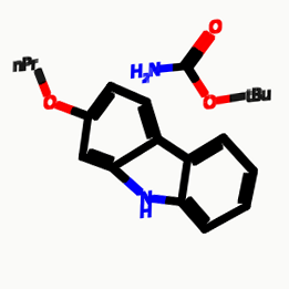 CC(C)(C)OC(N)=O.CCCOc1ccc2c(c1)[nH]c1ccccc12